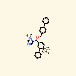 Cn1cncc1C(OCc1ccc(-c2ccccc2)cc1)C1=CC(c2ccccc2)C(C)(C#N)C=C1